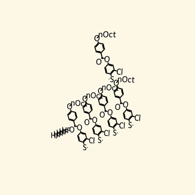 CCCCCCCCOc1ccc(C(=O)Oc2ccc([S])c(Cl)c2)cc1.CCCCCCCCOc1ccc(C(=O)Oc2ccc([S])c(Cl)c2)cc1.CCCCCCCCOc1ccc(C(=O)Oc2ccc([S])c(Cl)c2)cc1.CCCCCCCCOc1ccc(C(=O)Oc2ccc([S])c(Cl)c2)cc1.CCCCCCCCOc1ccc(C(=O)Oc2ccc([S])c(Cl)c2)cc1.F.F.F.F.F